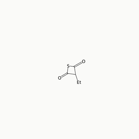 [CH2]CC1C(=O)SC1=O